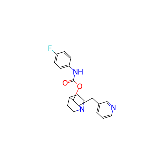 O=C(Nc1ccc(F)cc1)OC1C2CCN(CC2)C1Cc1cccnc1